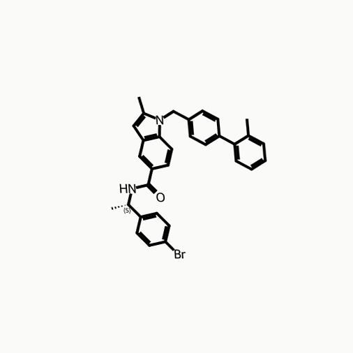 Cc1ccccc1-c1ccc(Cn2c(C)cc3cc(C(=O)N[C@@H](C)c4ccc(Br)cc4)ccc32)cc1